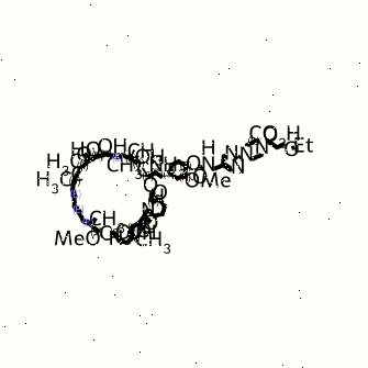 CCOCCC(=O)N1CCN(c2ncc(CNC(=O)O[C@@H]3CC[C@@H](C[C@@H](N)[C@@H]4C[C@@H](O)[C@H](C)/C=C(\C)[C@@H](O)[C@@H](O)C(=O)[C@H](C)C[C@H](C)/C=C/C=C/C=C(\C)[C@@H](OC)C[C@@H]5CC[C@@H](C)[C@@](O)(O5)C(=O)C(=O)N5CCCC[C@H]5C(=O)O4)C[C@H]3OC)cn2)C[C@@H]1C(=O)O